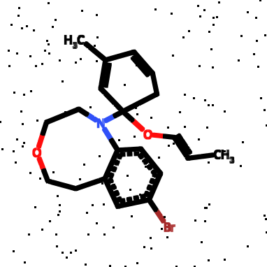 CC=COC1(N2CCOCCc3cc(Br)ccc32)C=C(C)C=CC1